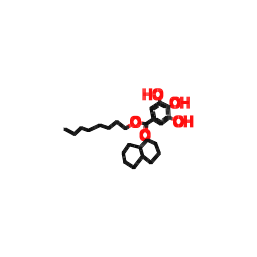 C1CCC2CCCCC2C1.CCCCCCCCOC(=O)c1cc(O)c(O)c(O)c1